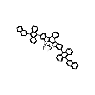 Cn1c2cc(-c3c4ccccc4c(-c4ccc5ccccc5c4)c4ccccc34)ccc2c2c3ccccc3c3c4ccc(-c5c6ccccc6c(-c6ccc7ccccc7c6)c6ccccc56)cc4n(C)c3c21